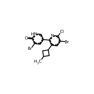 CC1CC(c2cc(Br)c(Cl)nc2-c2c[nH]c(=O)c(Br)c2)C1